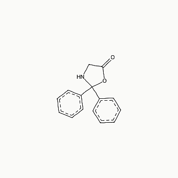 O=C1CNC(c2ccccc2)(c2ccccc2)O1